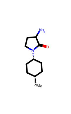 CN[C@H]1CC[C@H](N2CCC(N)C2=O)CC1